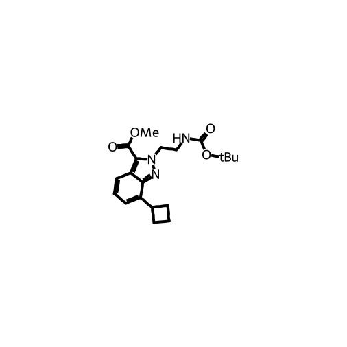 COC(=O)c1c2cccc(C3CCC3)c2nn1CCNC(=O)OC(C)(C)C